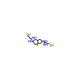 CC1CCC(NC(=N)CCCS)CCC2CCC(NC(=N)CCCS)CCC12